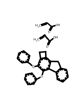 C=CC(=O)O.C=CC(=O)O.c1ccc(Oc2c3c(c4c(c2Oc2ccccc2)-c2ccccc2C4)CC3)cc1